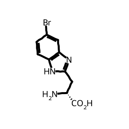 N[C@H](Cc1nc2cc(Br)ccc2[nH]1)C(=O)O